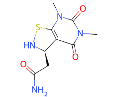 Cn1c2c(c(=O)n(C)c1=O)[C@@H](CC(N)=O)NS2